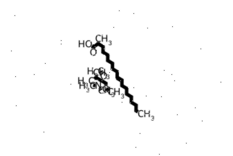 CCCCCCCCC=CCCCCCCCC(C)C(=O)O.COCC(OC)(C(C)C)N(C)C